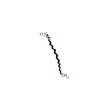 [CH2]C=NOCCCCCCCCCCCCCCCCCC